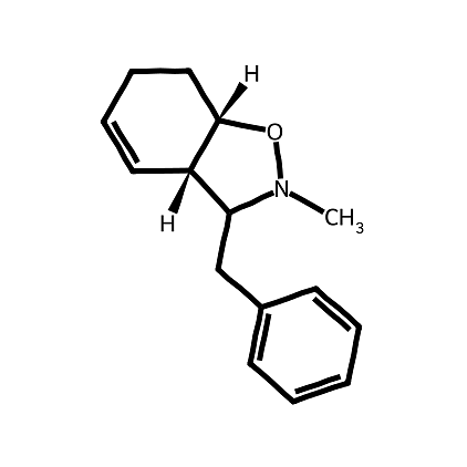 CN1O[C@H]2CCC=C[C@H]2C1Cc1ccccc1